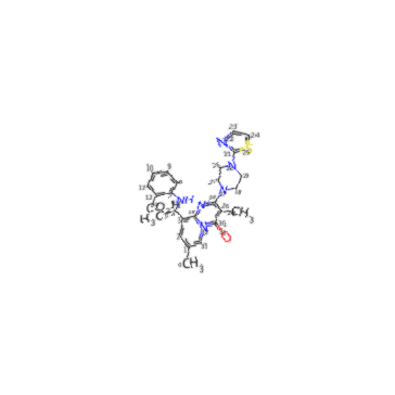 Cc1cc(C(C)Nc2ccccc2C(=O)O)c2nc(N3CCN(c4nccs4)CC3)c(C)c(=O)n2c1